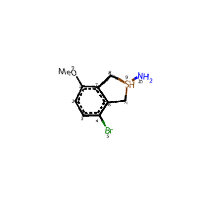 COc1ccc(Br)c2c1C[SH](N)C2